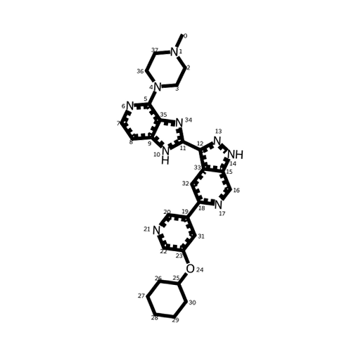 CN1CCN(c2nccc3[nH]c(-c4n[nH]c5cnc(-c6cncc(OC7CCCCC7)c6)cc45)nc23)CC1